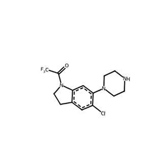 O=C(N1CCc2cc(Cl)c(N3CCNCC3)cc21)C(F)(F)F